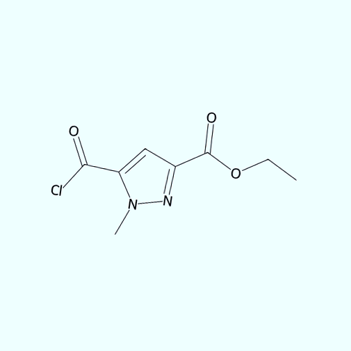 CCOC(=O)c1cc(C(=O)Cl)n(C)n1